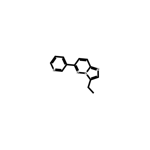 CCc1cnc2ccc(-c3cccnc3)nn12